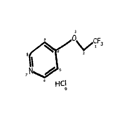 Cl.FC(F)(F)COc1ccncc1